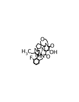 CCc1ncnn1-c1c(F)cccc1CNC(=O)c1nc2n(c(=O)c1O)CCOCC21CCCC1